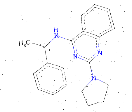 CC(Nc1nc(N2CCCC2)nc2ccccc12)c1ccccc1